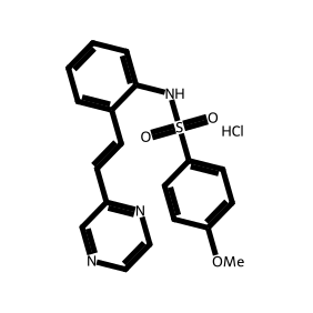 COc1ccc(S(=O)(=O)Nc2ccccc2C=Cc2cnccn2)cc1.Cl